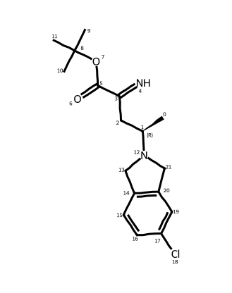 C[C@H](CC(=N)C(=O)OC(C)(C)C)N1Cc2ccc(Cl)cc2C1